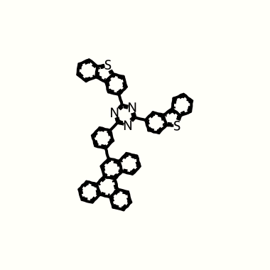 c1cc(-c2nc(-c3ccc4sc5ccccc5c4c3)nc(-c3ccc4sc5ccccc5c4c3)n2)cc(-c2cc3c4ccccc4c4ccccc4c3c3ccccc23)c1